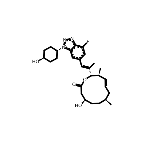 C/C(=C\c1cc(F)c2nnn([C@H]3CC[C@H](O)CC3)c2c1)[C@H]1OC(=O)C[C@H](O)CC[C@H](C)C/C=C/[C@@H]1C